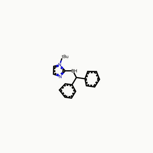 CC(C)(C)n1ccnc1BC(c1ccccc1)c1ccccc1